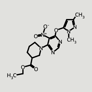 CCOC(=O)C1CCCN(c2ncnc(Oc3cc(C)nn3C)c2[N+](=O)[O-])C1